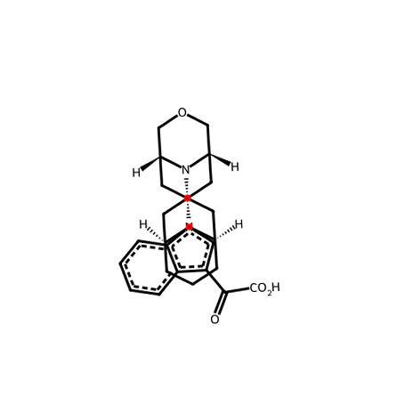 O=C(O)C(=O)c1cn([C@H]2C[C@H]3COC[C@@H](C2)N3[C@H]2C[C@@H]3CCC[C@@H](C3)C2)c2ccccc12